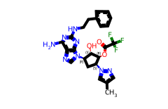 Cc1cnn([C@H]2C[C@@H](n3cnc4c(N)nc(NCCc5ccccc5)nc43)[C@H](O)[C@@H]2OC(=O)C(F)(F)F)c1